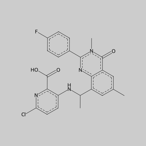 Cc1cc(C(C)Nc2ccc(Cl)nc2C(=O)O)c2nc(-c3ccc(F)cc3)n(C)c(=O)c2c1